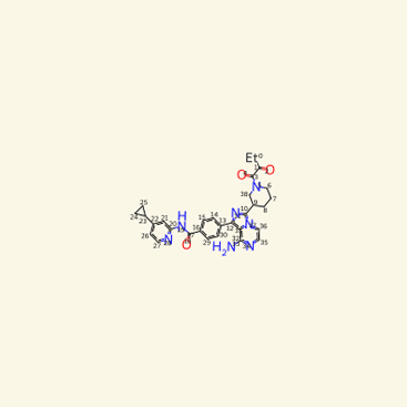 CCC(=O)C(=O)N1CCCC(c2nc(-c3ccc(C(=O)Nc4cc(C5CC5)ccn4)cc3)c3c(N)nccn23)C1